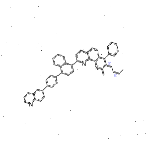 C=c1nc2c(ccc3ccc(-c4ccc(-c5ccc(-c6ccc7ncccc7c6)cc5)c5ccccc45)nc32)c(-c2ccccc2)/c1=C/C=C\C